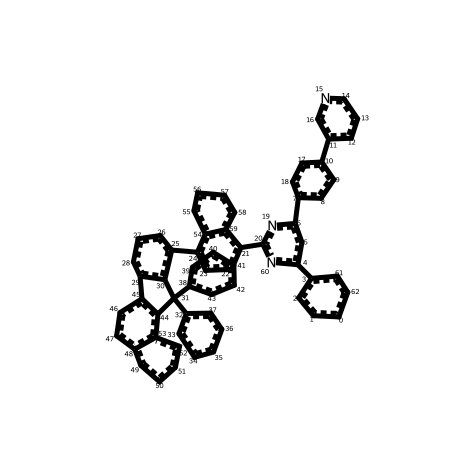 c1ccc(-c2cc(-c3ccc(-c4cccnc4)cc3)nc(-c3ccc(-c4cccc5c4C(c4ccccc4)(c4ccccc4)c4c-5ccc5ccccc45)c4ccccc34)n2)cc1